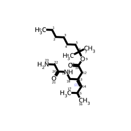 CCCCCCC(C)(C)OC(=O)C/C(=C/C(C)C)CNC(=O)CN